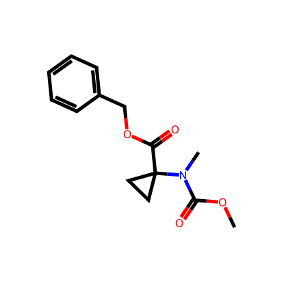 COC(=O)N(C)C1(C(=O)OCc2ccccc2)CC1